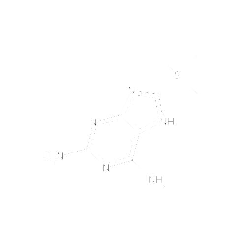 C[Si](C)(C)c1nc2nc(N)nc(N)c2[nH]1